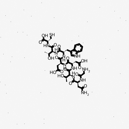 C[C@@H](O)[C@H](NC(=O)[C@H](Cc1c[nH]c2ccccc12)NC(=O)[C@H](CC(=O)O)NC(=O)[C@H](CC(=O)O)NC(=O)[C@@H](NC(=O)[C@H](CC(N)=O)NC(=O)CN)[C@@H](C)O)C(=O)N[C@@H](CS)C(=O)O